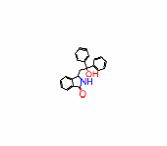 O=C1NC(CC(O)(c2ccccc2)c2ccccc2)c2ccccc21